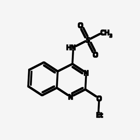 CCOc1nc(NS(C)(=O)=O)c2ccccc2n1